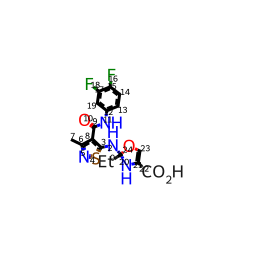 CCC1(Nc2snc(C)c2C(=O)Nc2ccc(F)c(F)c2)NC(C(=O)O)=CO1